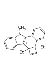 CCC12C=CC1(CC)[n+]1c(n(C)c3ccccc31)-c1ccccc12